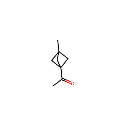 CC(=O)C12CC(C)(C1)C2